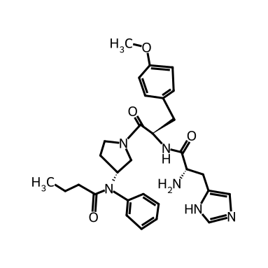 CCCC(=O)N(c1ccccc1)[C@@H]1CCN(C(=O)[C@@H](Cc2ccc(OC)cc2)NC(=O)[C@@H](N)Cc2cnc[nH]2)C1